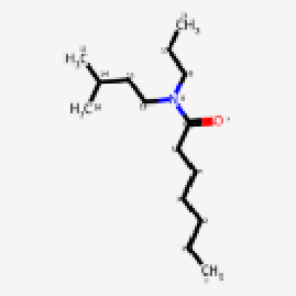 CCCCCCC(=O)N(CCC)CCC(C)C